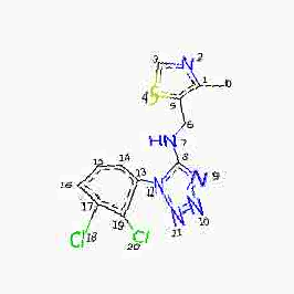 Cc1ncsc1CNc1nnnn1-c1cccc(Cl)c1Cl